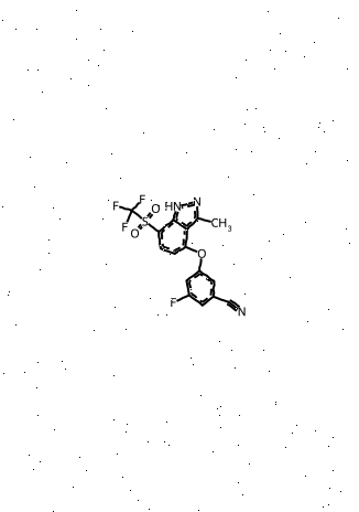 Cc1n[nH]c2c(S(=O)(=O)C(F)(F)F)ccc(Oc3cc(F)cc(C#N)c3)c12